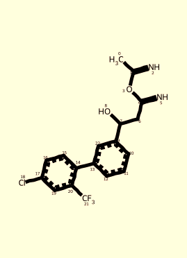 CC(=N)OC(=N)CC(O)c1cccc(-c2ccc(Cl)cc2C(F)(F)F)c1